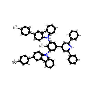 N#Cc1ccc(-c2ccc3c(c2)c2ccccc2n3-c2cc(-c3cc(-c4ccccc4)nc(-c4ccccc4)c3)cc(-n3c4ccccc4c4cc(-c5ccc(C#N)cc5)ccc43)c2C#N)cc1